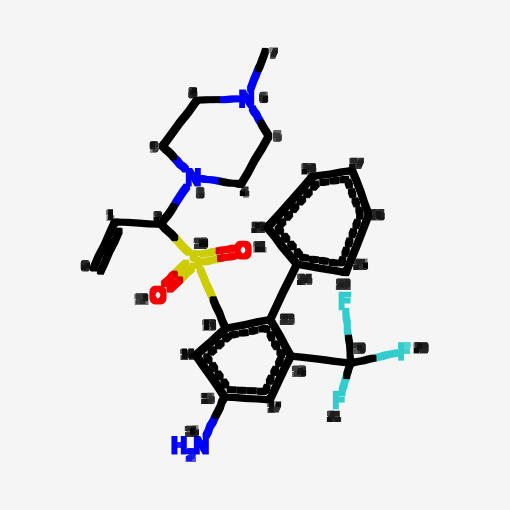 C=CC(N1CCN(C)CC1)S(=O)(=O)c1cc(N)cc(C(F)(F)F)c1-c1ccccc1